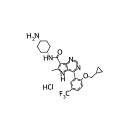 Cc1[nH]c2c(-c3cc(C(F)(F)F)ccc3OCC3CC3)ncnc2c1C(=O)N[C@H]1CC[C@@H](N)CC1.Cl